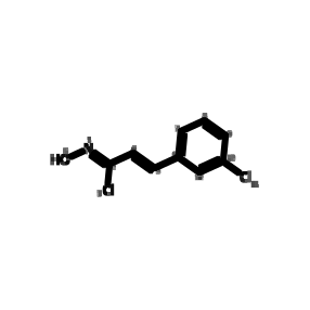 O/N=C(Cl)/C=C/c1cccc(Cl)c1